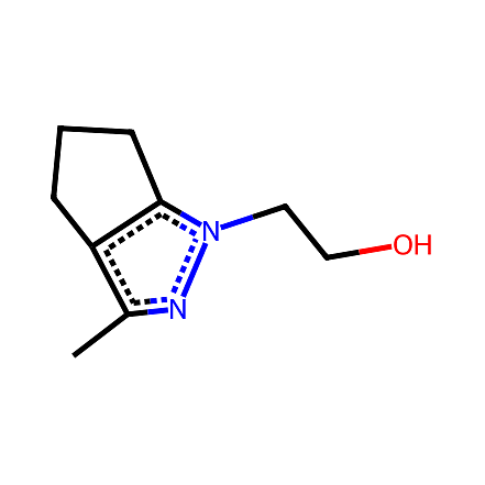 Cc1nn(CCO)c2c1CCC2